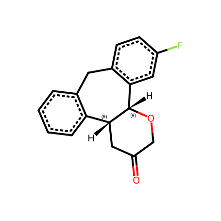 O=C1CO[C@H]2c3cc(F)ccc3Cc3ccccc3[C@H]2C1